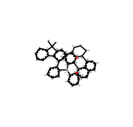 CC1(C)c2ccccc2-c2c(-c3ccccc3N(c3ccccc3)c3ccccc3-c3cccc4cccc(C5CCCCC5)c34)cccc21